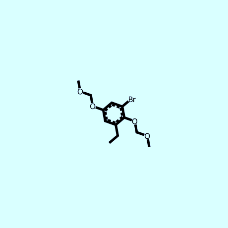 CCc1cc(OCOC)cc(Br)c1OCOC